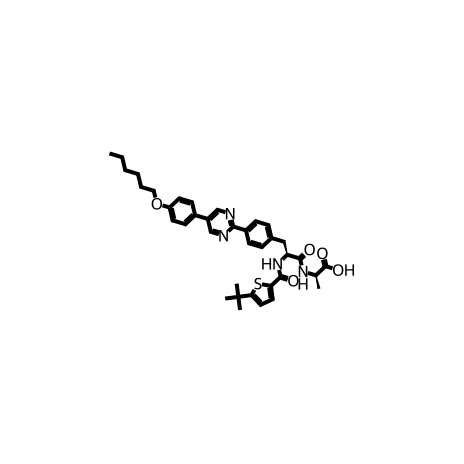 CCCCCCOc1ccc(-c2cnc(-c3ccc(C[C@H](NC(=O)c4ccc(C(C)(C)C)s4)C(=O)N[C@H](C)C(=O)O)cc3)nc2)cc1